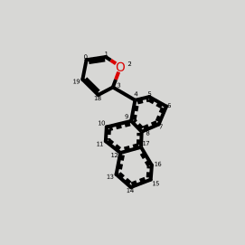 C1=COC(c2cccc3c2ccc2ccccc23)C=C1